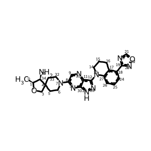 C[C@@H]1OCC2(CCN(c3cnc4c(N5CCCc6c(-c7ncon7)cccc65)n[nH]c4n3)CC2)[C@@H]1N